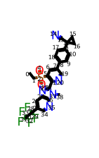 CCS(=O)(=O)c1cc(-c2ccc(C3(C#N)CC3)cc2)cnc1-c1nc2cc(C(F)(F)C(F)(F)F)cnc2n1C